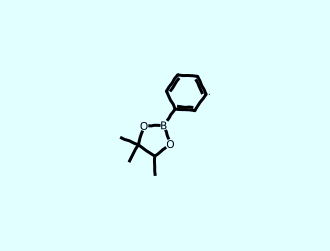 CC1OB(c2c[c]ccc2)OC1(C)C